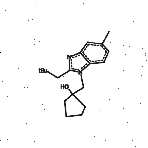 Cc1ccc2c(c1)nc(CC(C)(C)C)n2CC1(O)CCCC1